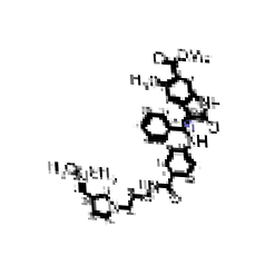 COC(=O)c1cc2c(cc1C)/C(=C(/Nc1ccc(C(=O)NOCCN3CCC(C=[N+](C)C)C3)cc1)c1ccccc1)C(=O)N2